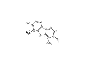 CCc1ccc2c(sc3c(C)c(CC)ccc32)c1C